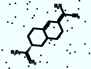 C=C(C)[C@@H]1CCC2=CC(=C(N)N)CCC2C1